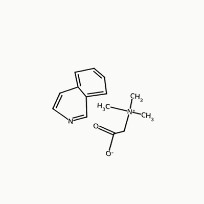 C[N+](C)(C)CC(=O)[O-].c1ccc2cnccc2c1